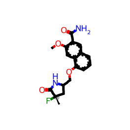 COc1cc2c(OCC3C[C@](C)(F)C(=O)N3)cccc2cc1C(N)=O